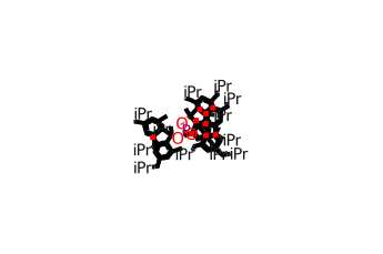 Cc1cc(CC(C)C)cc(CC(C)C)c1C(C)(OP(OC(C)(c1c(C)cc(CC(C)C)cc1CC(C)C)c1c(C)cc(CC(C)C)cc1CC(C)C)OC(C)(c1c(C)cc(CC(C)C)cc1CC(C)C)c1c(C)cc(CC(C)C)cc1CC(C)C)c1c(C)cc(CC(C)C)cc1CC(C)C